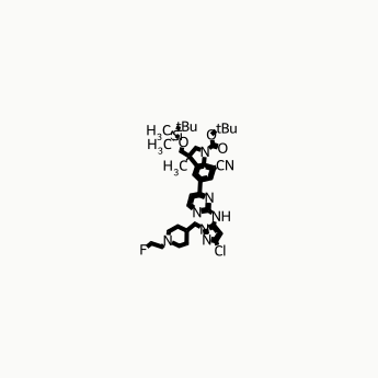 CC(C)(C)OC(=O)N1C[C@](C)(CO[Si](C)(C)C(C)(C)C)c2cc(-c3ccnc(Nc4cc(Cl)nn4CC4CCN(CCF)CC4)n3)cc(C#N)c21